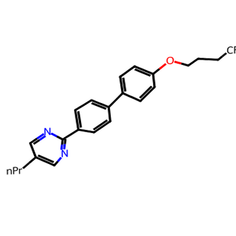 CCCc1cnc(-c2ccc(-c3ccc(OCCCC(F)(F)F)cc3)cc2)nc1